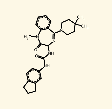 CN1C(=O)C(NC(=O)Nc2ccc3c(c2)CCC3)N=C(N2CCC(C)(C)CC2)c2ccccc21